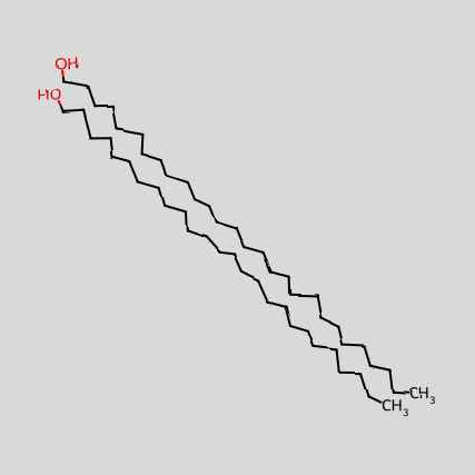 CCCCCCCCCCCCCCCCCCCCCCCCCCCCO.CCCCCCCCCCCCCCCCCCCCCCCCCCO